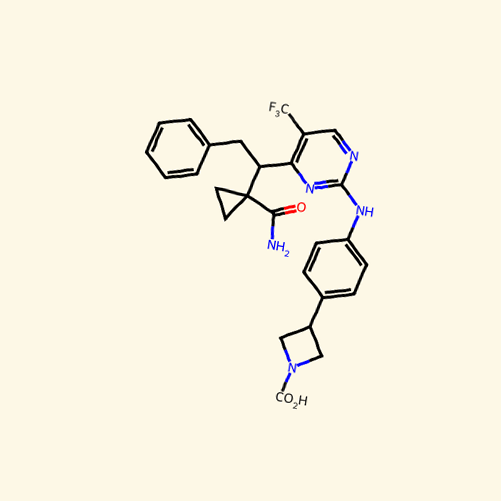 NC(=O)C1(C(Cc2ccccc2)c2nc(Nc3ccc(C4CN(C(=O)O)C4)cc3)ncc2C(F)(F)F)CC1